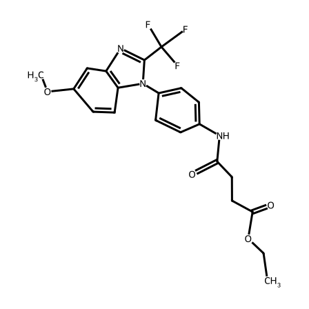 CCOC(=O)CCC(=O)Nc1ccc(-n2c(C(F)(F)F)nc3cc(OC)ccc32)cc1